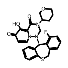 O=C1c2c(O)c(=O)ccn2N([C@@H]2c3ccccc3SCc3cccc(F)c32)CN1[C@@H]1CCCOC1